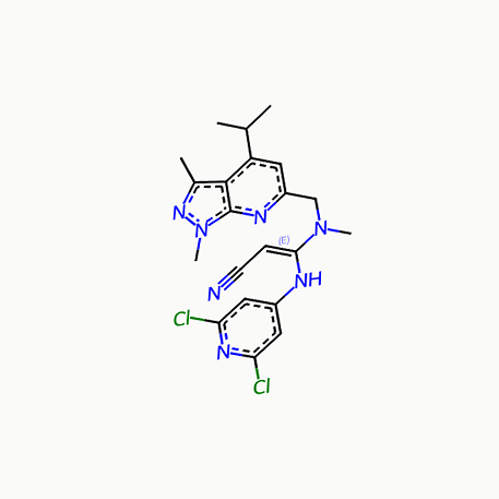 Cc1nn(C)c2nc(CN(C)/C(=C/C#N)Nc3cc(Cl)nc(Cl)c3)cc(C(C)C)c12